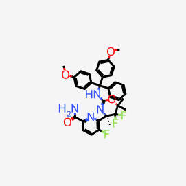 COc1ccc(C(NC2=N[C@](C)(c3nc(C(N)=O)ccc3F)C(F)(F)C(C)(C)O2)(c2ccccc2)c2ccc(OC)cc2)cc1